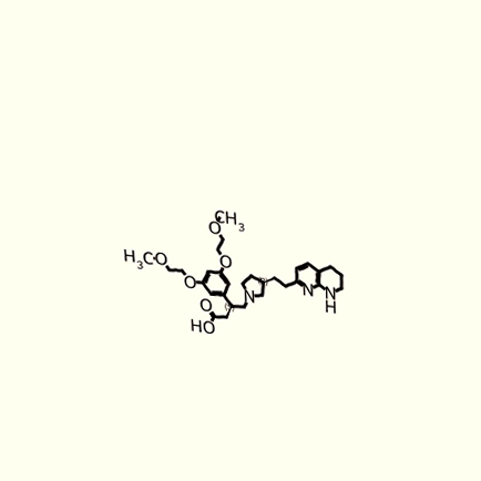 COCCOc1cc(OCCOC)cc([C@H](CC(=O)O)CN2CC[C@@H](CCc3ccc4c(n3)NCCC4)C2)c1